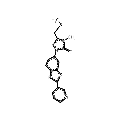 CSCc1nn(-c2ccc3nc(-c4cccnc4)sc3c2)c(=O)n1C